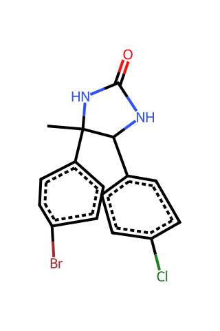 CC1(c2ccc(Br)cc2)NC(=O)NC1c1ccc(Cl)cc1